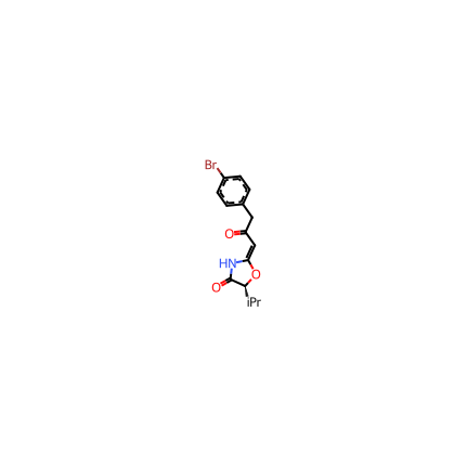 CC(C)[C@@H]1O/C(=C/C(=O)Cc2ccc(Br)cc2)NC1=O